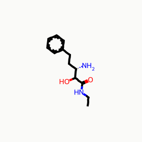 CCNC(=O)C(O)[C@@H](N)CCc1ccccc1